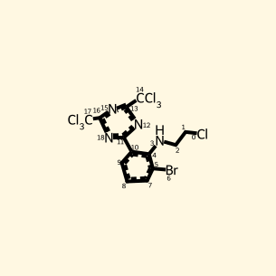 ClCCNc1c(Br)cccc1-c1nc(C(Cl)(Cl)Cl)nc(C(Cl)(Cl)Cl)n1